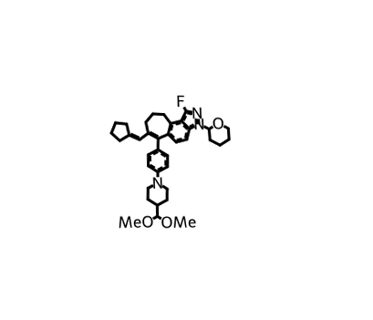 COC(OC)C1CCN(c2ccc(C3=C(C=C4CCCC4)CCCc4c3ccc3c4c(F)nn3C3CCCCO3)cc2)CC1